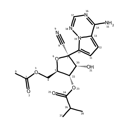 CC(=O)OC[C@H]1O[C@@](C#N)(c2ccc3c(N)ncnn23)[C@H](O)[C@@H]1OC(=O)C(C)C